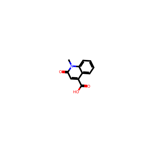 Cn1c(=O)cc(C(=O)O)c2ccccc21